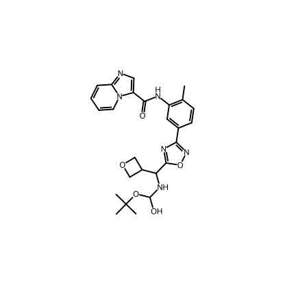 Cc1ccc(-c2noc(C(NC(O)OC(C)(C)C)C3COC3)n2)cc1NC(=O)c1cnc2ccccn12